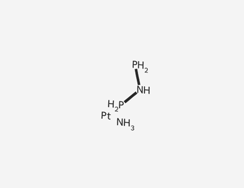 N.PNP.[Pt]